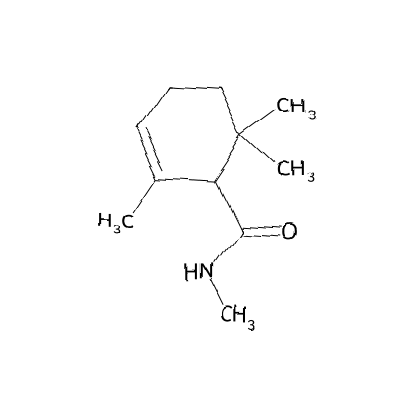 CNC(=O)C1C(C)=CCCC1(C)C